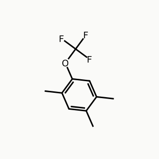 Cc1cc(C)c(OC(F)(F)F)cc1C